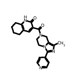 Cc1nc(-c2ccncc2)n2c1CN(C(=O)c1cc3c([nH]c1=O)CCCC3)CC2